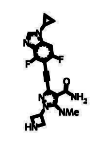 CNc1c(C(N)=O)c(C#Cc2c(F)cc3c(ncn3C3CC3)c2F)nn1C1CNC1